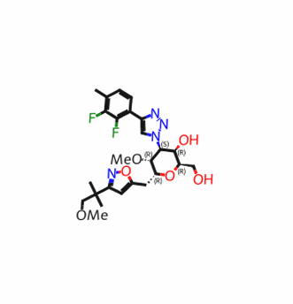 COCC(C)(C)c1cc(C[C@H]2O[C@H](CO)[C@H](O)[C@H](n3cc(-c4ccc(C)c(F)c4F)nn3)[C@H]2OC)on1